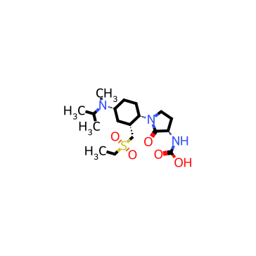 CCS(=O)(=O)C[C@@H]1C[C@H](N(C)C(C)C)CC[C@@H]1N1CC[C@H](NC(=O)O)C1=O